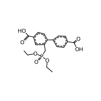 CCOP(=O)(Cc1cc(C(=O)O)ccc1-c1ccc(C(=O)O)cc1)OCC